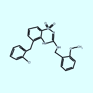 COc1ccccc1CNC1=NS(=O)(=O)c2cccc(Cc3ccccc3Cl)c2N1